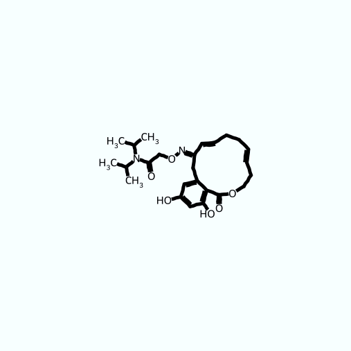 CC(C)N(C(=O)CO/N=C1/C=C/CC/C=C/CCOC(=O)c2c(O)cc(O)cc2C1)C(C)C